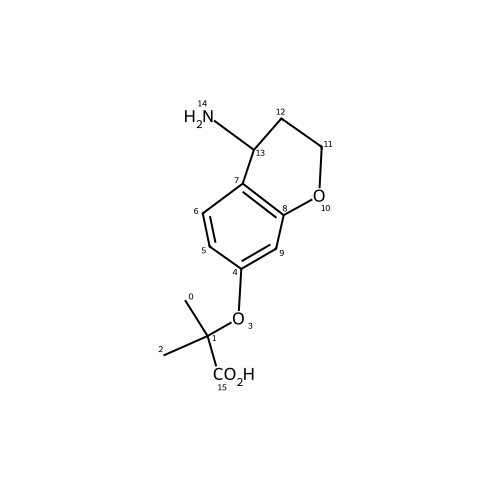 CC(C)(Oc1ccc2c(c1)OCCC2N)C(=O)O